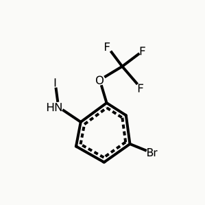 FC(F)(F)Oc1cc(Br)ccc1NI